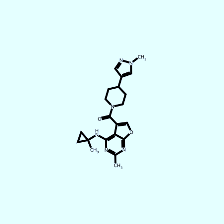 Cc1nc(NC2(C)CC2)c2c(C(=O)N3CCC(c4cnn(C)c4)CC3)coc2n1